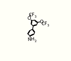 Nc1ccc(-c2cc(OC(F)(F)F)cc(OC(F)(F)F)c2)cc1